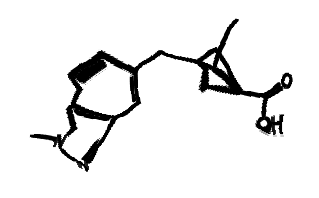 CC1C2(Cc3ccc4c(cnn4C)c3)CC1(C(=O)O)C2